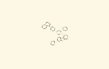 c1ccc(-c2cc(-c3nc(-c4ccccc4)cc(-c4ccc5c(c4)oc4ccc6ccccc6c45)n3)c3c(c2)sc2ccccc23)cc1